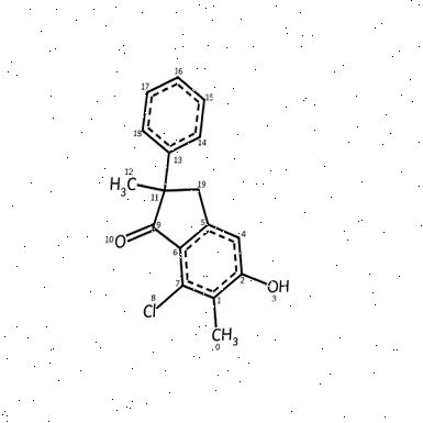 Cc1c(O)cc2c(c1Cl)C(=O)C(C)(c1ccccc1)C2